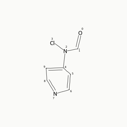 O=[C]N(Cl)c1ccncc1